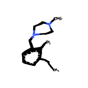 CCc1cccc(CN2CCN(C)CC2)c1C